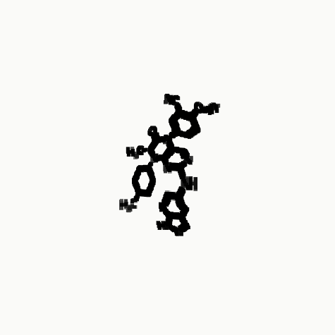 CC(C)Oc1ccc(N2C(=O)[C@@H](C)N([C@H]3CC[C@H](C)CC3)c3nc(Nc4cnc5[nH]ncc5c4)ncc32)cc1C#N